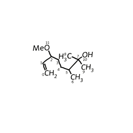 C=CC(CCC(C)C(C)(C)O)OC